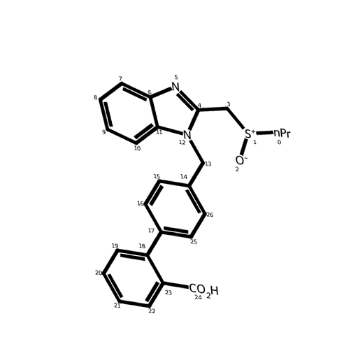 CCC[S+]([O-])Cc1nc2ccccc2n1Cc1ccc(-c2ccccc2C(=O)O)cc1